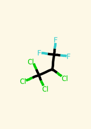 FC(F)(F)[C](Cl)C(Cl)(Cl)Cl